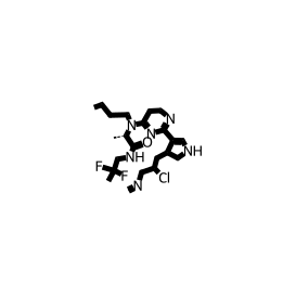 C=NCC(Cl)CC1CNC=C1C1=NCCC(N(CCCC)[C@@H](C)C(=O)NCC(C)(F)F)=N1